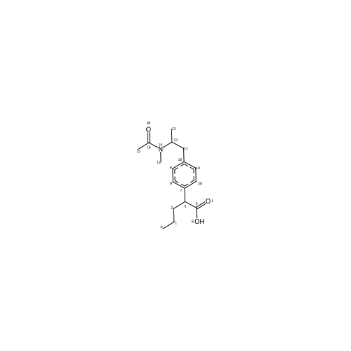 CCCC(C(=O)O)c1ccc(CC(C)N(C)C(C)=O)cc1